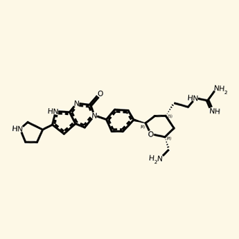 N=C(N)NCC[C@@H]1C[C@H](CN)O[C@@H](c2ccc(-n3cc4cc(C5CCNC5)[nH]c4nc3=O)cc2)C1